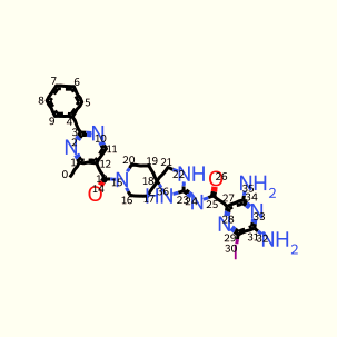 Cc1nc(-c2ccccc2)ncc1C(=O)N1CCC2(CC1)CN/C(=N\C(=O)c1nc(I)c(N)nc1N)N2